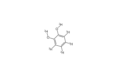 [2H]Oc1c([2H])c([2H])c([2H])c([2H])c1O[2H]